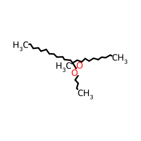 CCCCCCCCCCCCC(C)(CCCCCCCCCC)C(=O)OCCCCC